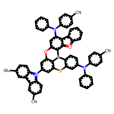 CC(C)(C)c1ccc2c(c1)c1cc(C#N)ccc1n2-c1cc2c3c(c1)Sc1cc(N(c4ccccc4)c4ccc(C#N)cc4)ccc1B3c1c(cc(N(c3ccccc3)c3ccc(C#N)cc3)c3c1oc1ccccc13)O2